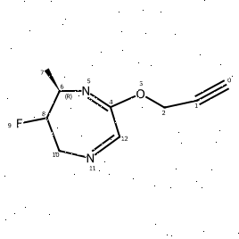 C#CCOC1=N[C@H](C)C(F)CN=C1